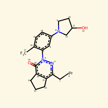 CC(C)Cc1nn(-c2cc(N3CCC(O)C3)ccc2C(F)(F)F)c(=O)c2c1CCC2